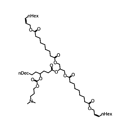 CCCCCC/C=C\COC(=O)CCCCCCCC(=O)OCC(COC(=O)CCCCCCCC(=O)OC/C=C\CCCCCC)OC(=O)CCC(CCCCCCCCCCCC)OC(=O)OCCCN(C)C